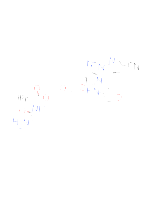 CC(C)C(NC(=O)CN)C(=O)OCCOCCOc1cc2ncn(-c3ccc(C#N)cn3)c2nc1NC1CCOCC1